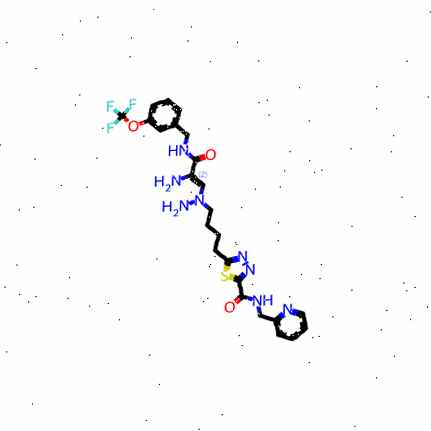 N/C(=C\N(N)CCCCc1nnc(C(=O)NCc2ccccn2)s1)C(=O)NCc1cccc(OC(F)(F)F)c1